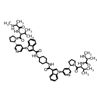 CN[C@@H](C)C(=O)N[C@H](C(=O)N1CCC[C@H]1c1cncc(-n2cc(C(=O)NC3CCC(NC(=O)c4cn(-c5cncc([C@@H]6CCCN6C(=O)[C@@H](NC(=O)[C@H](C)NC)C(C)C)c5)c5ccccc45)CC3)c3ccccc32)c1)C(C)C